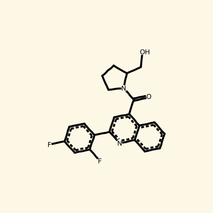 O=C(c1cc(-c2ccc(F)cc2F)nc2ccccc12)N1CCCC1CO